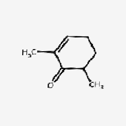 CC1=CCCC(C)C1=O